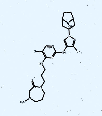 Cc1nn(C2CC3CCC(C2)N3C)cc1Nc1ncc(Cl)c(NCCCN2CCCN(C)CC2=O)n1